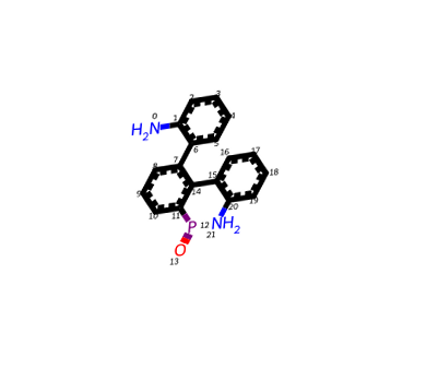 Nc1ccccc1-c1cccc(P=O)c1-c1ccccc1N